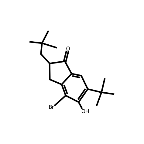 CC(C)(C)CC1Cc2c(cc(C(C)(C)C)c(O)c2Br)C1=O